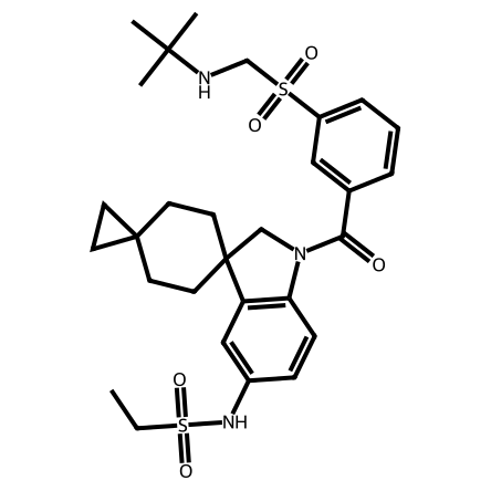 CCS(=O)(=O)Nc1ccc2c(c1)C1(CCC3(CC3)CC1)CN2C(=O)c1cccc(S(=O)(=O)CNC(C)(C)C)c1